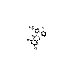 [O-][N+]1=C(c2cc(C(F)(F)F)nn2-c2ncccc2Cl)OCc2cc(Cl)cc(Br)c21